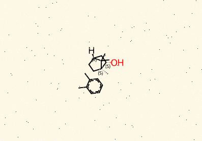 CC1(C)[C@@H]2CC[C@]1(C)[C@@H](O)C2.Cc1ccccc1C